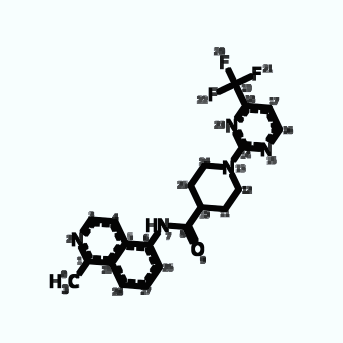 Cc1nccc2c(NC(=O)C3CCN(c4nccc(C(F)(F)F)n4)CC3)cccc12